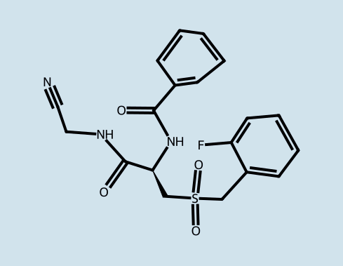 N#CCNC(=O)[C@H](CS(=O)(=O)Cc1ccccc1F)NC(=O)c1ccccc1